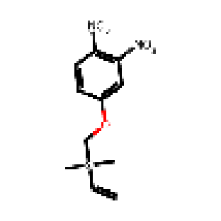 C=C[Si](C)(C)COc1ccc([N+](=O)[O-])c([N+](=O)[O-])c1